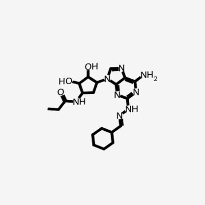 CCC(=O)NC1CC(n2cnc3c(N)nc(NN=CC4CCCCC4)nc32)C(O)C1O